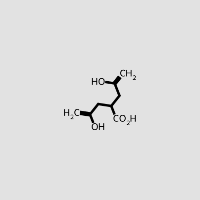 C=C(O)CC(CC(=C)O)C(=O)O